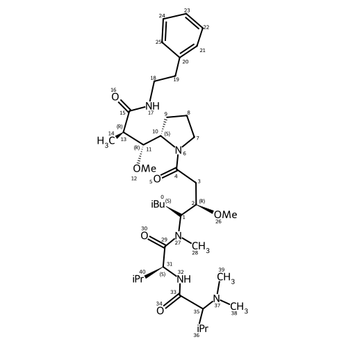 CC[C@H](C)C([C@@H](CC(=O)N1CCC[C@H]1[C@H](OC)[C@@H](C)C(=O)NCCc1ccccc1)OC)N(C)C(=O)[C@@H](NC(=O)C(C(C)C)N(C)C)C(C)C